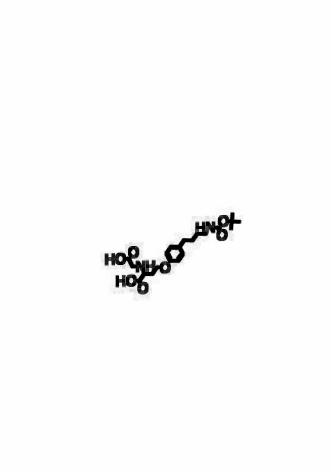 CC(C)(C)OC(=O)NCCCCc1ccc(OCCC(NCC(=O)O)C(=O)O)cc1